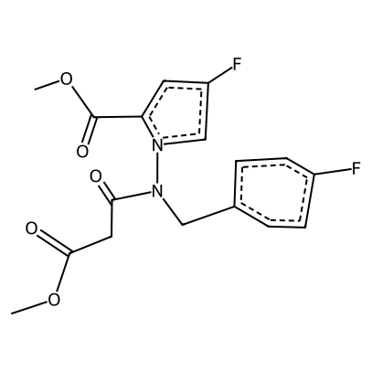 COC(=O)CC(=O)N(Cc1ccc(F)cc1)n1cc(F)cc1C(=O)OC